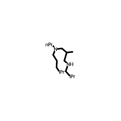 CCCN(CCCC(C)C)CC(C)CNCC(C)C